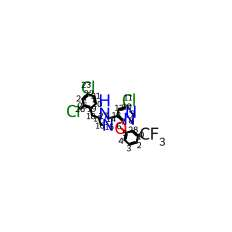 FC(F)(F)c1cccc(Oc2nnc(Cl)cc2C2=NCC(Cc3ccc(Cl)cc3Cl)N2)c1